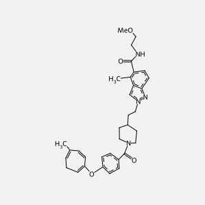 COCCNC(=O)c1ccc2nn(CCC3CCN(C(=O)c4ccc(OC5=CCC=C(C)C=C5)cc4)CC3)cc2c1C